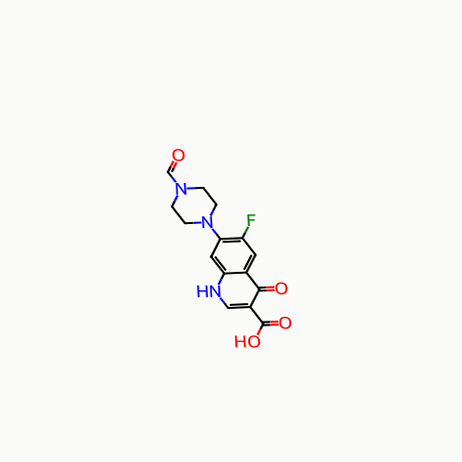 O=CN1CCN(c2cc3[nH]cc(C(=O)O)c(=O)c3cc2F)CC1